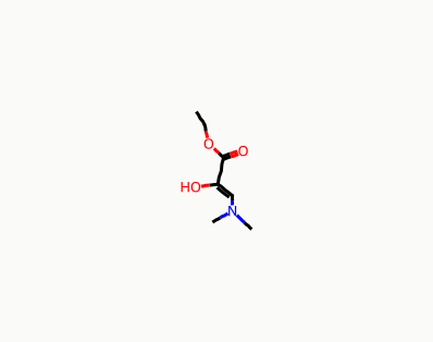 CCOC(=O)/C(O)=C/N(C)C